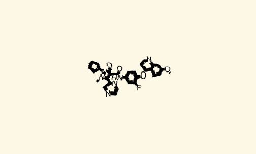 COc1ccc2c(Oc3ccc(NC(=O)c4c(-c5cnccn5)n(C)n(-c5ccccc5)c4=O)cc3F)ccnc2c1